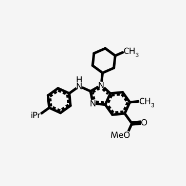 COC(=O)c1cc2nc(Nc3ccc(C(C)C)cc3)n(C3CCCC(C)C3)c2cc1C